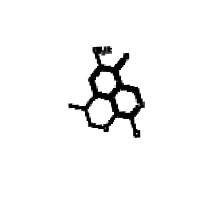 CCOC(=O)c1cn2c3c(c(Cl)ncc3c1=O)OCC2C